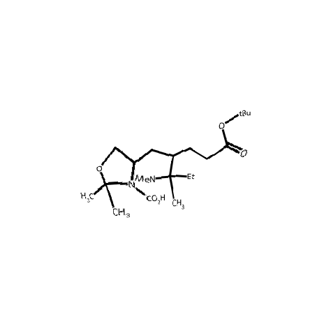 CCC(C)(NC)C(CCC(=O)OC(C)(C)C)CC1COC(C)(C)N1C(=O)O